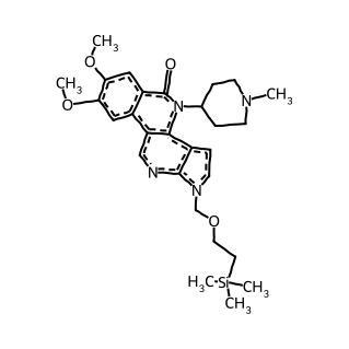 COc1cc2c(=O)n(C3CCN(C)CC3)c3c(cnc4c3ccn4COCC[Si](C)(C)C)c2cc1OC